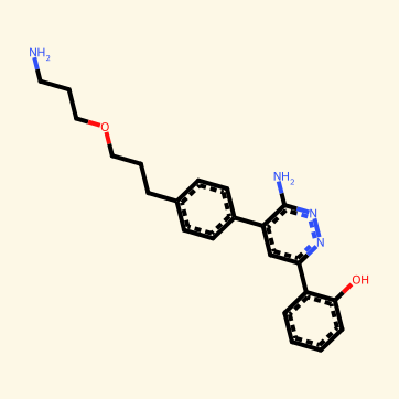 NCCCOCCCc1ccc(-c2cc(-c3ccccc3O)nnc2N)cc1